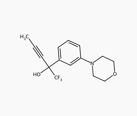 CC#CC(O)(c1cccc(N2CCOCC2)c1)C(F)(F)F